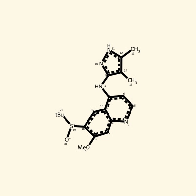 COc1cc2nccc(Nc3n[nH]c(C)c3C)c2cc1[S+]([O-])C(C)(C)C